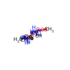 C#Cc1cc(Nc2nccc(Oc3ccc(NC(=O)Nc4cc(C(C)(C)C)nn4C)c4ccccc34)n2)cc(C(=O)NCCOCCOC)c1